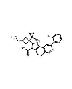 CCN1CC(c2[nH]c3c(c2C(=O)O)CCc2cnc(-c4ccccc4F)cc2-3)(C2(N)CC2)C1